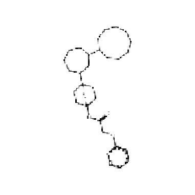 O=C(COc1ccccc1)NC12CCC(C3CCCCC(C4CCCCCCCC4)C3)(CC1)CC2